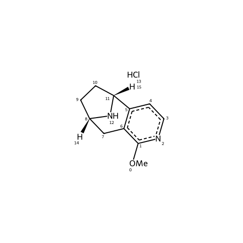 COc1nccc2c1C[C@@H]1CC[C@H]2N1.Cl